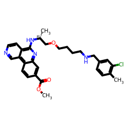 COC(=O)c1ccc2c(c1)nc(N[C@H](C)COCCCCNCc1ccc(C)c(Cl)c1)c1ccncc12